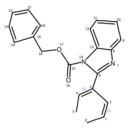 C/C=C\C(=C/C)c1nc2ccccc2n1C(=O)OCc1ccccc1